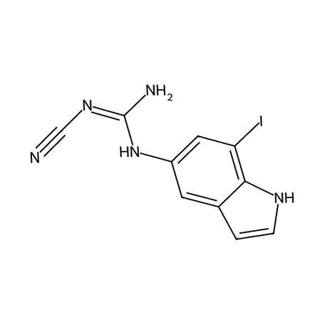 N#C/N=C(/N)Nc1cc(I)c2[nH]ccc2c1